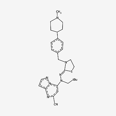 CN1CCC(c2ccc(CN3CCSC3=NN(CC(C)(C)C)c3cc(C#N)nc4ccnn34)cc2)CC1